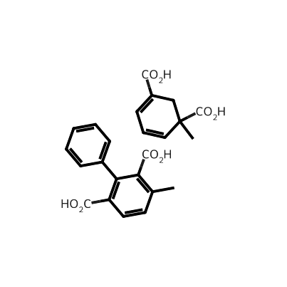 CC1(C(=O)O)C=CC=C(C(=O)O)C1.Cc1ccc(C(=O)O)c(-c2ccccc2)c1C(=O)O